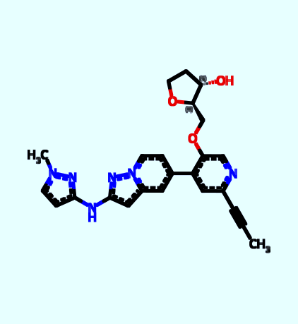 CC#Cc1cc(-c2ccn3nc(Nc4ccn(C)n4)cc3c2)c(OC[C@H]2OCC[C@@H]2O)cn1